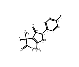 COC(=O)C(O)(c1c(C)[nH]n(-c2ccc(Cl)cc2)c1=O)C(F)(F)F